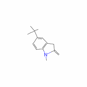 C=C1Cc2cc(C(C)(C)C)ccc2N1C